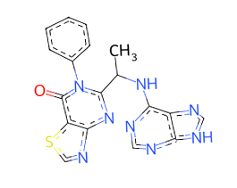 CC(Nc1ncnc2[nH]cnc12)c1nc2ncsc2c(=O)n1-c1ccccc1